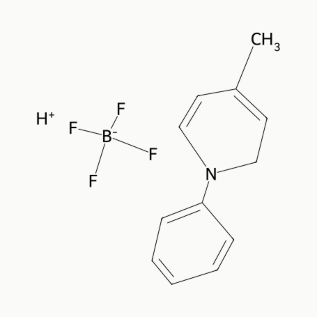 CC1=CCN(c2ccccc2)C=C1.F[B-](F)(F)F.[H+]